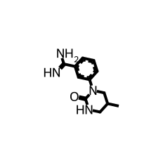 CC1CNC(=O)N(c2cccc(C(=N)N)c2)C1